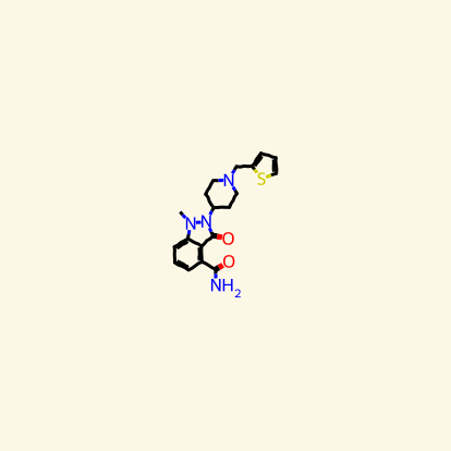 Cn1c2cccc(C(N)=O)c2c(=O)n1C1CCN(Cc2cccs2)CC1